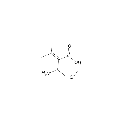 CC(C)=C(C(=O)O)C(C)N.CCl